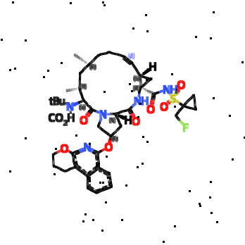 C[C@@H]1CC/C=C\[C@@H]2C[C@@]2(C(=O)NS(=O)(=O)C2(CF)CC2)NC(=O)[C@@H]2C[C@@H](Oc3nc4c(c5ccccc35)CCCO4)CN2C(=O)[C@@H](N(C(=O)O)C(C)(C)C)[C@H](C)C1